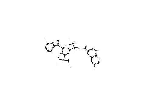 Cc1cnc2c(Cl)cc(C(=O)NCC(O)(c3cc4c(c(-c5csc6c(F)cccc56)n3)OC[C@]4(C)C(N)=O)C(F)(F)F)cc2c1